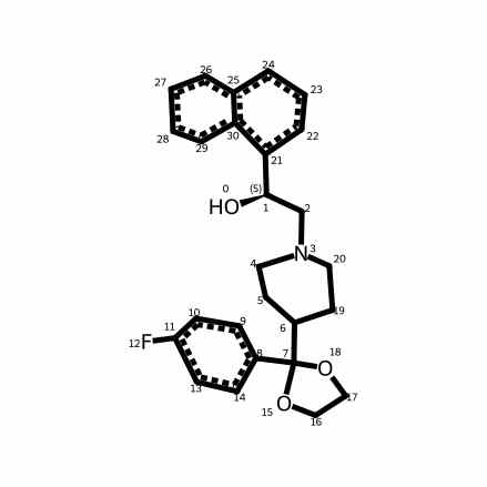 O[C@H](CN1CCC(C2(c3ccc(F)cc3)OCCO2)CC1)c1cccc2ccccc12